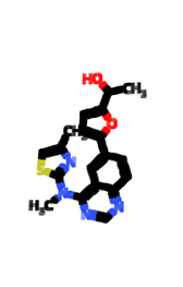 Cc1csc(N(C)c2ncnc3ccc(-c4ccc(C(C)O)o4)cc23)n1